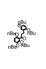 CCCCOc1ccc(OCCCC)c(CCC(=O)c2c(OCCCC)ccc(OCCCC)c2OCCCC)c1